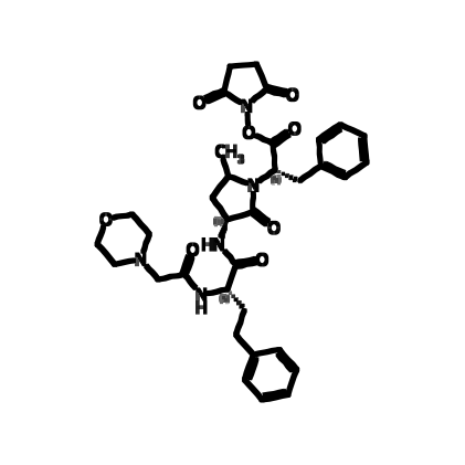 CC1C[C@H](NC(=O)[C@H](CCc2ccccc2)NC(=O)CN2CCOCC2)C(=O)N1[C@@H](Cc1ccccc1)C(=O)ON1C(=O)CCC1=O